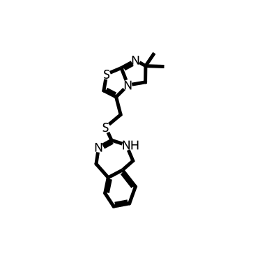 CC1(C)CN2C(CSC3=NCc4ccccc4CN3)=CSC2=N1